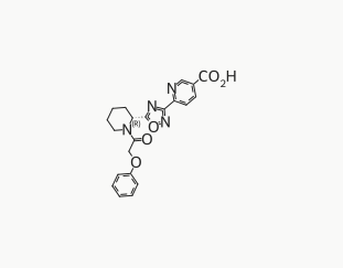 O=C(O)c1ccc(-c2noc([C@H]3CCCCN3C(=O)COc3ccccc3)n2)nc1